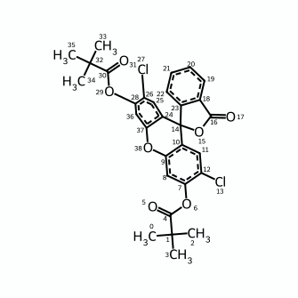 CC(C)(C)C(=O)Oc1cc2c(cc1Cl)C1(OC(=O)c3ccccc31)c1cc(Cl)c(OC(=O)C(C)(C)C)cc1O2